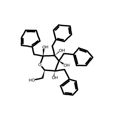 OC[C@H]1O[C@](O)(Cc2ccccc2)[C@@](O)(Cc2ccccc2)[C@](O)(Cc2ccccc2)[C@@]1(O)Cc1ccccc1